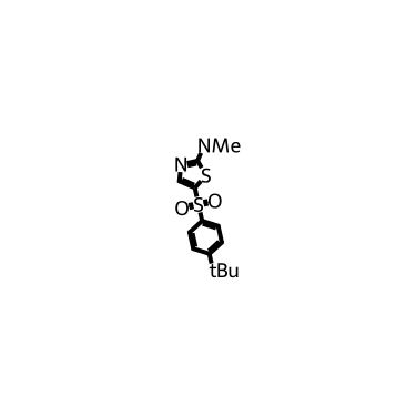 CNc1ncc(S(=O)(=O)c2ccc(C(C)(C)C)cc2)s1